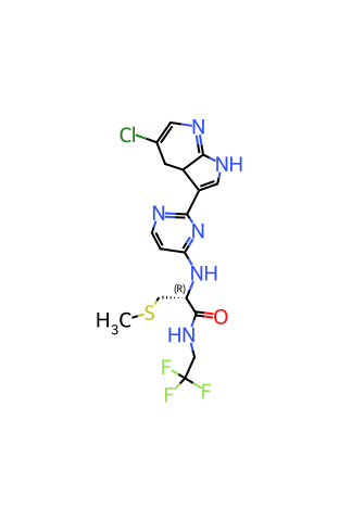 CSC[C@H](Nc1ccnc(C2=CNC3=NC=C(Cl)CC23)n1)C(=O)NCC(F)(F)F